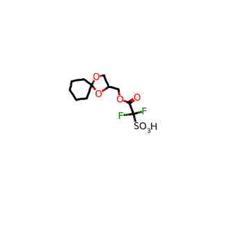 O=C(OCC1COC2(CCCCC2)O1)C(F)(F)S(=O)(=O)O